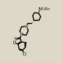 CC(=O)N[C@H]1CC[C@H](CCN2CCN(c3noc4cc(Cl)ccc34)CC2)CC1